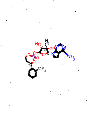 C[C@@]1(O)[C@H](O)C(OP2(=O)OCC[C@H](c3ccccc3C(F)(F)F)O2)O[C@H]1n1ccc2c(N)ncnc21